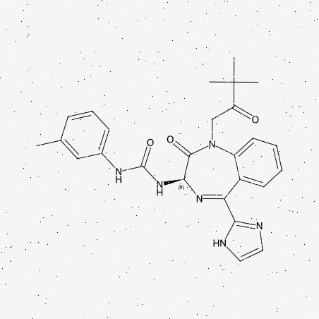 Cc1cccc(NC(=O)N[C@@H]2N=C(c3ncc[nH]3)c3ccccc3N(CC(=O)C(C)(C)C)C2=O)c1